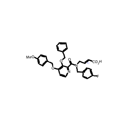 COc1ccc(COc2ccnc(C(=O)N(C/C=C/C(=O)O)Cc3ccc(F)cc3)c2OCc2ccccc2)cc1